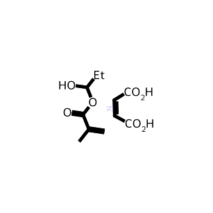 C=C(C)C(=O)OC(O)CC.O=C(O)/C=C\C(=O)O